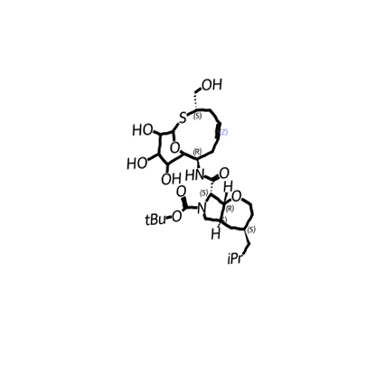 CC(C)C[C@@H]1CCO[C@@H]2[C@@H](C1)CN(C(=O)OC(C)(C)C)[C@@H]2C(=O)N[C@@H]1C/C=C\C[C@@H](CO)SC2OC1C(O)C(O)C2O